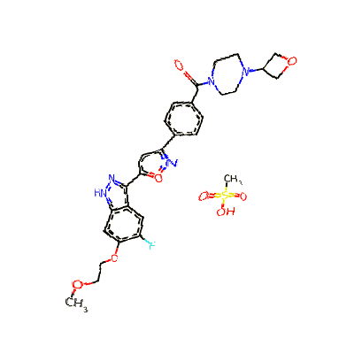 COCCOc1cc2[nH]nc(-c3cc(-c4ccc(C(=O)N5CCN(C6COC6)CC5)cc4)no3)c2cc1F.CS(=O)(=O)O